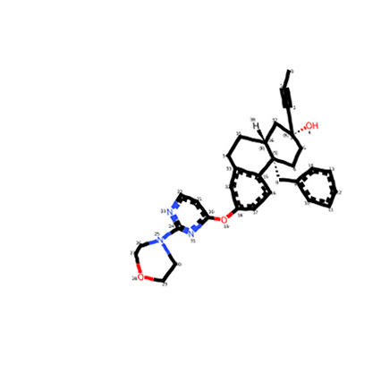 CC#C[C@@]1(O)CC[C@@]2(Cc3ccccc3)c3ccc(Oc4ccnc(N5CCOCC5)n4)cc3CC[C@@H]2C1